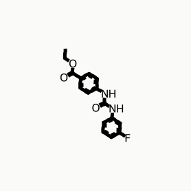 CCOC(=O)c1ccc(NC(=O)Nc2cccc(F)c2)cc1